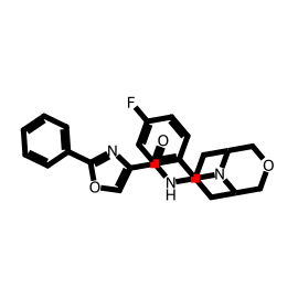 O=C(NC1CC2COCC(C1)N2Cc1ccc(F)cc1)c1coc(-c2ccccc2)n1